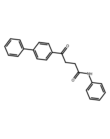 O=C(CCC(=O)c1ccc(-c2ccccc2)cc1)Nc1ccccc1